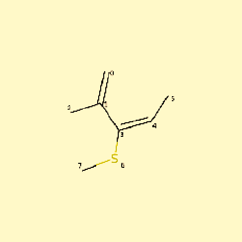 C=C(C)/C(=C\C)SC